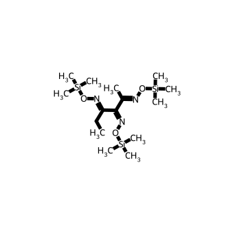 CCC(=N\O[Si](C)(C)C)/C(=N\O[Si](C)(C)C)C(/C)=N/O[Si](C)(C)C